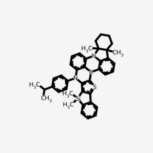 CC(C)c1ccc(N2c3cccc4c3B(c3cccc5c3N4C3(C)CCCCC53C)c3sc4c(c32)[Si](C)(C)c2ccccc2-4)cc1